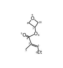 CCC=C(C)C(=O)OC1COC1